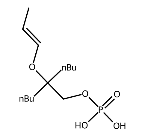 CC=COC(CCCC)(CCCC)COP(=O)(O)O